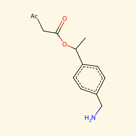 CC(=O)CC(=O)OC(C)c1ccc(CN)cc1